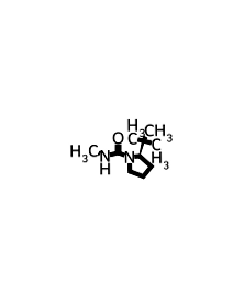 CNC(=O)N1CCC[C@@H]1C(C)(C)C